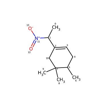 CC(C1=CCC(C)C(C)(C)C1)[N+](=O)[O-]